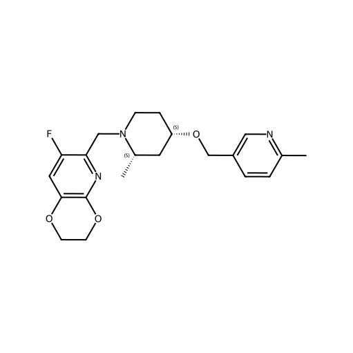 Cc1ccc(CO[C@H]2CCN(Cc3nc4c(cc3F)OCCO4)[C@@H](C)C2)cn1